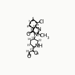 Cc1nc2c(Cl)cccc2c(=O)n1C1CCC(C(=O)C=O)NC1